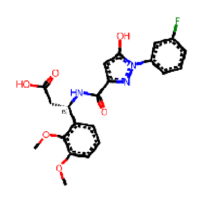 COc1cccc([C@H](CC(=O)O)NC(=O)c2cc(O)n(-c3cccc(F)c3)n2)c1OC